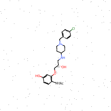 CC(=O)Nc1ccc(O)cc1OC[C@@H](O)CNC1CCN(Cc2ccc(Cl)cc2)CC1